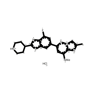 CNc1cc(-c2cc(F)c3nc(C4CCNCC4)sc3c2)nn2cc(C)nc12.Cl